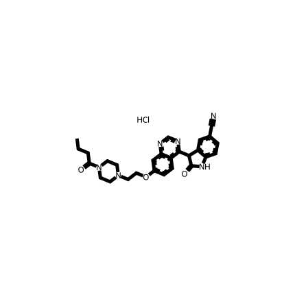 CCCC(=O)N1CCN(CCOc2ccc3c(C4C(=O)Nc5ccc(C#N)cc54)ncnc3c2)CC1.Cl